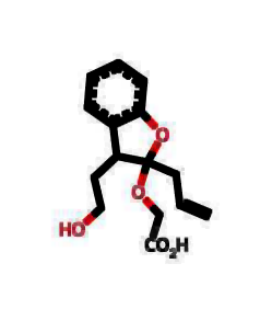 C=CCC1(OCC(=O)O)Oc2ccccc2C1CCO